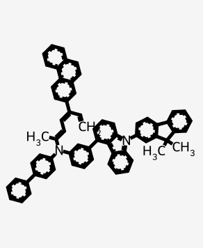 C=C/C(=C\C=C(/C)N(c1ccc(-c2ccccc2)cc1)c1cccc(-c2cccc3c2c2ccccc2n3-c2ccc3c(c2)C(C)(C)c2ccccc2-3)c1)c1ccc2c(ccc3ccccc32)c1